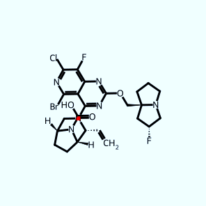 C=C[C@@H]1[C@@H]2CC[C@H](CN1c1nc(OC[C@@]34CCCN3C[C@H](F)C4)nc3c(F)c(Cl)nc(Br)c13)N2C(=O)O